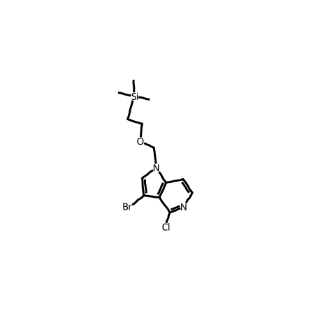 C[Si](C)(C)CCOCn1cc(Br)c2c(Cl)nccc21